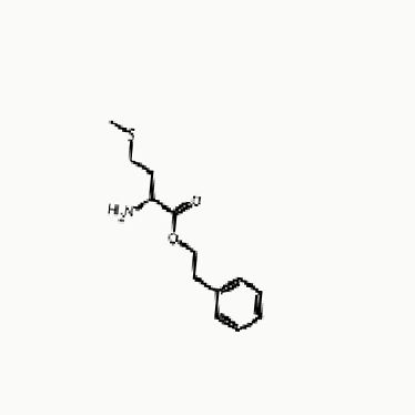 CSCC[C@H](N)C(=O)OCCc1ccccc1